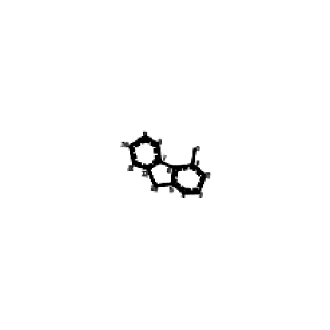 Cc1cccc2c1-c1ccccc1[C]2